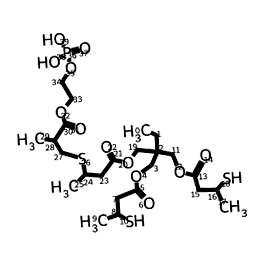 CCC(COC(=O)CC(C)S)(COC(=O)CC(C)S)COC(=O)CC(C)SCC(C)C(=O)OCCOP(=O)(O)O